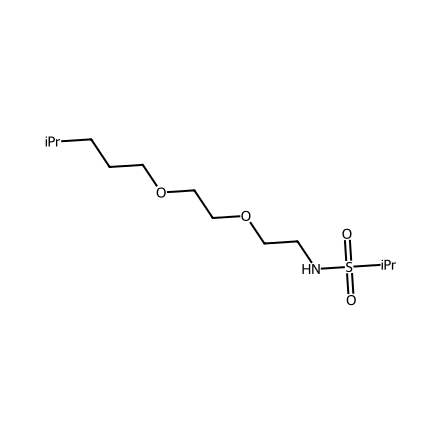 CC(C)CCCOCCOCCNS(=O)(=O)C(C)C